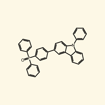 O=P(c1ccccc1)(c1ccccc1)c1ccc(-c2ccc3c(c2)c2ccccc2n3-c2ccccc2)cc1